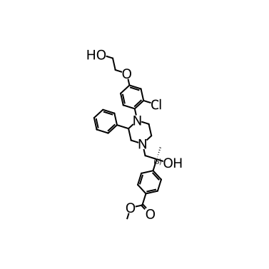 COC(=O)c1ccc([C@](C)(O)CN2CCN(c3ccc(OCCO)cc3Cl)C(c3ccccc3)C2)cc1